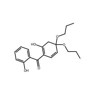 CCCOC1(OCCC)C=CC(C(=O)c2ccccc2O)=C(O)C1